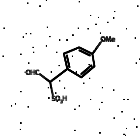 COc1ccc(C([C]=O)S(=O)(=O)O)cc1